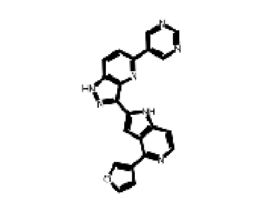 c1ncc(-c2ccc3[nH]nc(-c4cc5c(-c6ccoc6)nccc5[nH]4)c3n2)cn1